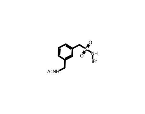 CC(=O)NCc1cccc(CS(=O)(=O)NC(C)C)c1